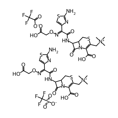 C[N+](C)(C)CC1=C(C(=O)O)N2C(=O)C(NC(=O)C(=NOCC(=O)O)c3csc(N)n3)C2CS1.C[N+](C)(C)CC1=C(C(=O)O)N2C(=O)C(NC(=O)C(=NOCC(=O)O)c3csc(N)n3)C2CS1.O=C([O-])C(F)(F)F.O=S(=O)([O-])C(F)(F)F